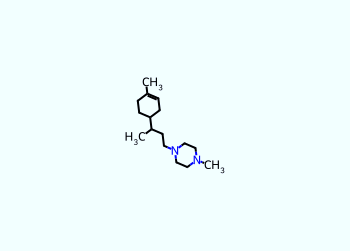 CC1=CCC(C(C)CCN2CCN(C)CC2)CC1